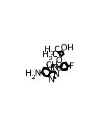 Cc1cc(N)cc2ncnc(Nc3ccc(F)cc3OC3CC(O)C3(C)C)c12